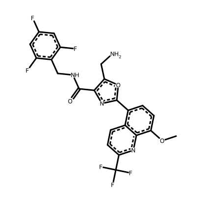 COc1ccc(-c2nc(C(=O)NCc3c(F)cc(F)cc3F)c(CN)o2)c2ccc(C(F)(F)F)nc12